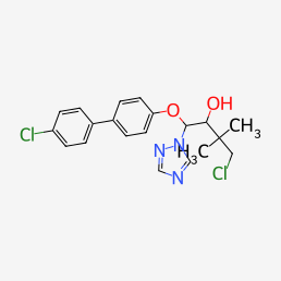 CC(C)(CCl)C(O)C(Oc1ccc(-c2ccc(Cl)cc2)cc1)n1cncn1